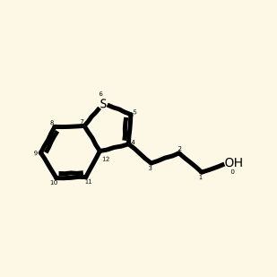 OCCCC1=CSC2C=CC=CC12